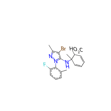 Cc1cccc(F)c1-n1nc(C)c(Br)c1NC1(C)C=CC=CC1C(=O)O